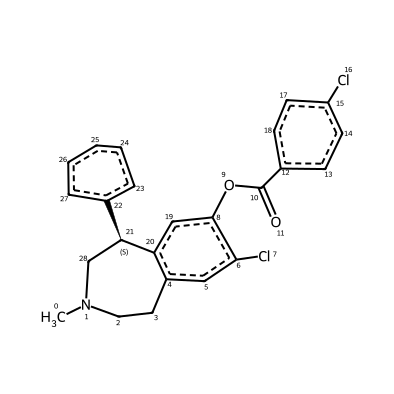 CN1CCc2cc(Cl)c(OC(=O)c3ccc(Cl)cc3)cc2[C@H](c2ccccc2)C1